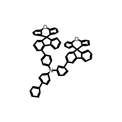 c1ccc(-c2ccc(N(c3ccc(-c4cccc5c4-c4ccccc4C54c5ccccc5Oc5ccccc54)cc3)c3cccc(-c4ccc5c(c4)-c4ccccc4C54c5ccccc5Oc5ccccc54)c3)cc2)cc1